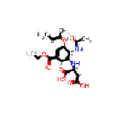 CCOC(=O)C1=C[C@@H](OC(C)CC)[C@H](NC(C)=O)[C@@H](NC(CC(=O)O)C(=O)O)C1